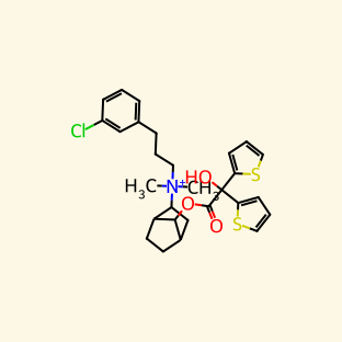 C[N+](C)(CCCc1cccc(Cl)c1)C1CC2CCC1C2OC(=O)C(O)(c1cccs1)c1cccs1